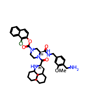 COc1cc(CNC(=O)[C@@H]2CN(C(=O)Oc3ccc4ccccc4c3Cl)CCN2C(=O)[C@@H](CC2CCCCC2)NC2CCCCC2)ccc1CN